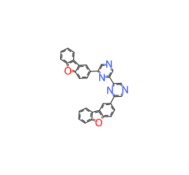 c1ccc2c(c1)oc1ccc(-c3cncc(-c4cncc(-c5ccc6oc7ccccc7c6c5)n4)n3)cc12